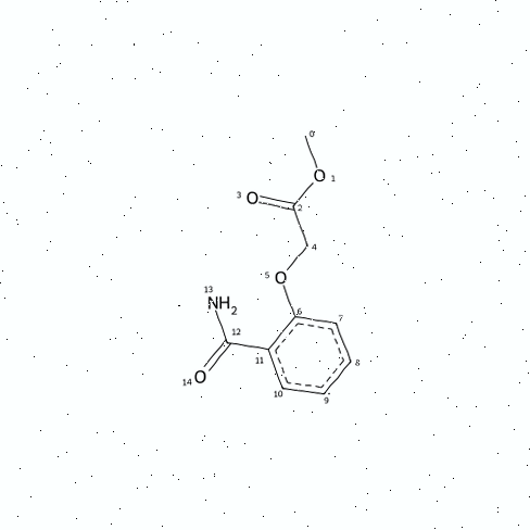 COC(=O)COc1cc[c]cc1C(N)=O